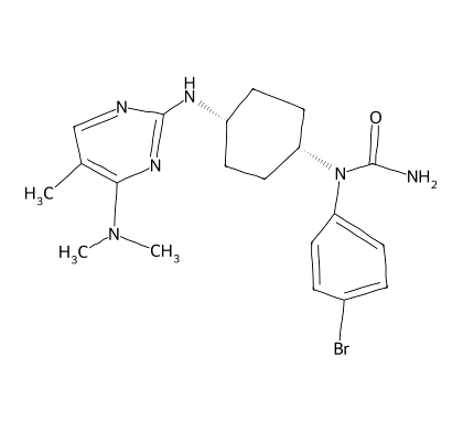 Cc1cnc(N[C@H]2CC[C@@H](N(C(N)=O)c3ccc(Br)cc3)CC2)nc1N(C)C